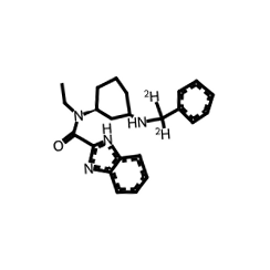 [2H]C([2H])(N[C@@H]1CCC[C@H](N(CC)C(=O)c2nc3ccccc3[nH]2)C1)c1ccccc1